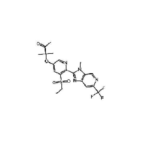 CCS(=O)(=O)c1cc(OC(C)(C)C(C)=O)cnc1-c1nc2cc(C(F)(F)F)ncc2n1C